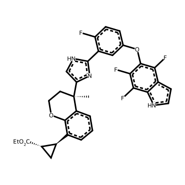 CCOC(=O)[C@H]1C[C@@H]1c1cccc2c1OCC[C@@]2(C)c1c[nH]c(-c2cc(Oc3c(F)c(F)c4[nH]ccc4c3F)ccc2F)n1